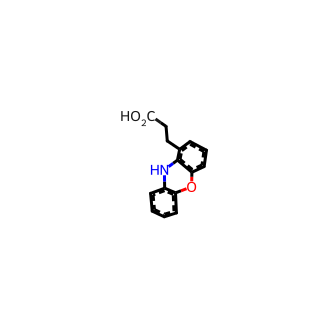 O=C(O)CCc1cccc2c1Nc1ccccc1O2